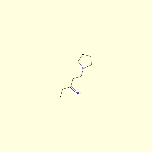 CCC(=N)CCN1CCCC1